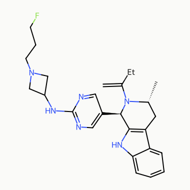 C=C(CC)N1[C@H](c2cnc(NC3CN(CCCF)C3)nc2)c2[nH]c3ccccc3c2C[C@H]1C